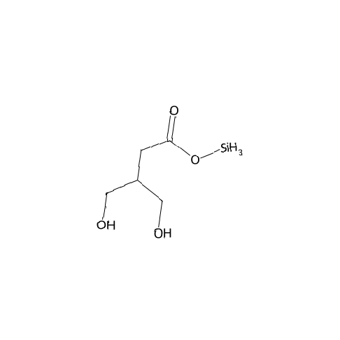 O=C(CC(CO)CO)O[SiH3]